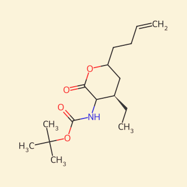 C=CCCC1C[C@@H](CC)C(NC(=O)OC(C)(C)C)C(=O)O1